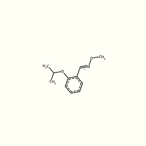 CO/N=C/c1ccccc1OC(C)C